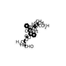 CCc1cccc2c(OC(=O)OCC(C)CNC=O)cc(C(=O)C(C(=O)N[C@@H]3C(=O)N4[C@@H]3SC(C)(C)[C@@H]4C(=O)O)c3ccccc3)nc12